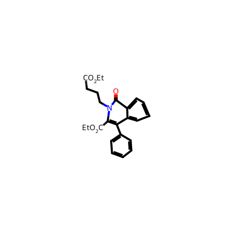 CCOC(=O)CCCn1c(C(=O)OCC)c(-c2ccccc2)c2ccccc2c1=O